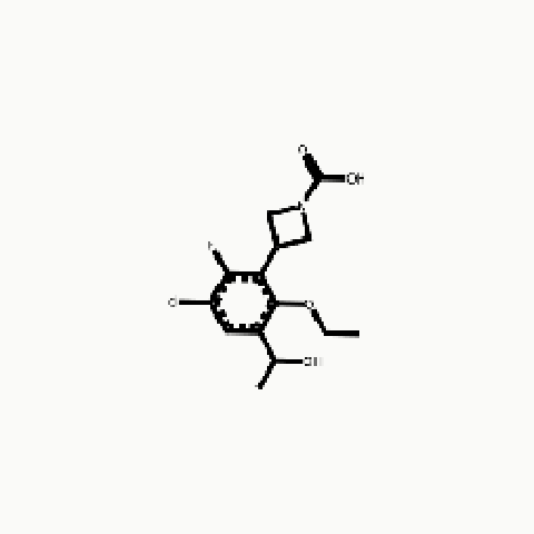 CCOc1c(C(C)O)cc(Cl)c(F)c1C1CN(C(=O)O)C1